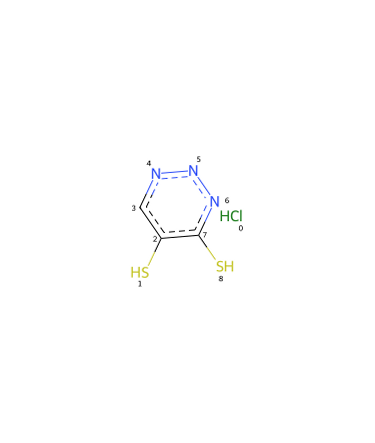 Cl.Sc1cnnnc1S